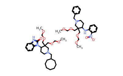 COCOCC1(COCOC)CN(CC2CCCCCCC2)CCC1n1c(=O)[nH]c2ccccc21.COCOCC1(COCOC)CN(Cc2ccccc2)CCC1Nc1ccccc1[N+](=O)[O-]